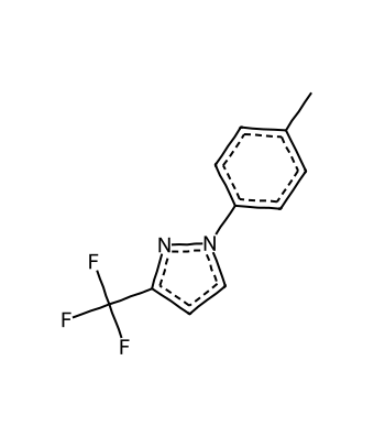 Cc1ccc(-n2ccc(C(F)(F)F)n2)cc1